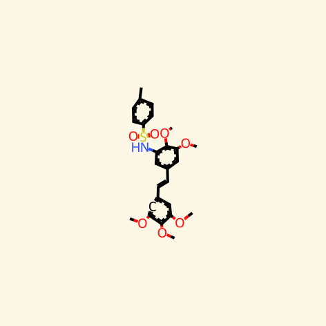 COc1cc(C=Cc2cc(OC)c(OC)c(OC)c2)cc(NS(=O)(=O)c2ccc(C)cc2)c1OC